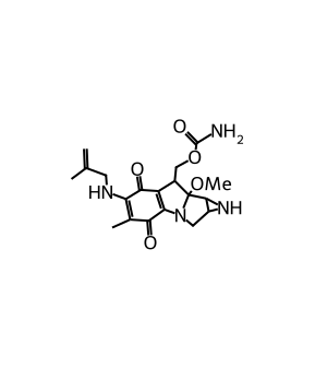 C=C(C)CNC1=C(C)C(=O)C2=C(C1=O)C(COC(N)=O)C1(OC)C3NC3CN21